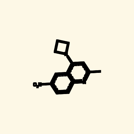 Cc1cc(N2CCC2)c2cc([N+](=O)[O-])ccc2n1